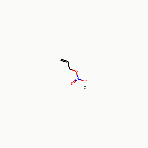 C=CCO[N+](=O)[O-].[C]